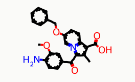 COc1cc(C(=O)c2c(C)c(C(=O)O)c3ccc(OCc4ccccc4)cn23)ccc1N